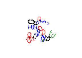 COC(=O)O[C@H]1C[C@@H](C(=O)NCc2c(F)ccc(Cl)c2F)N(C(=O)Nc2cn(C(N)=O)c3ccccc23)C1